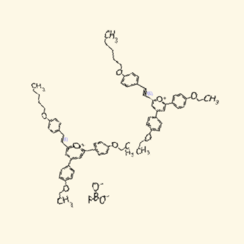 CCCCCOc1ccc(/C=C/c2cc(-c3ccc(OCC)cc3)cc(-c3ccc(OCC)cc3)[o+]2)cc1.CCCCCOc1ccc(/C=C/c2cc(-c3ccc(OCC)cc3)cc(-c3ccc(OCC)cc3)[o+]2)cc1.[O-]B([O-])F